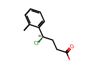 Cc1ccccc1[C@H](Cl)CCC(=O)O